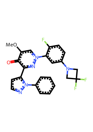 COc1cn(-c2cc(N3CC(F)(F)C3)ccc2F)nc(-c2ccnn2-c2ccccc2)c1=O